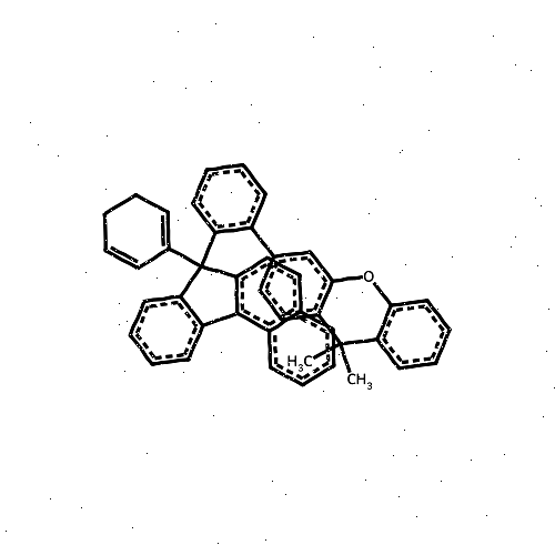 CC1(C)c2ccccc2Oc2cc(-c3ccccc3C3(C4=CCCC=C4)c4ccccc4-c4c3ccc3ccccc43)ccc21